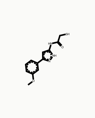 COc1cccc(-c2cc(NC(=O)CS)[nH]n2)c1